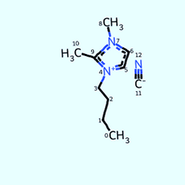 CCCC[n+]1ccn(C)c1C.[C-]#N